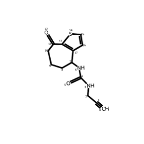 C#CCNC(=O)NC1CCCC(=O)c2sccc21